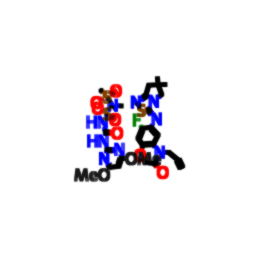 C#CCN1C(=O)COc2cc(F)c(/N=c3\snc4n3CC(C)(C)C4)cc21.COc1cc(OC)nc(NC(=O)NS(=O)(=O)N(C)S(C)(=O)=O)n1